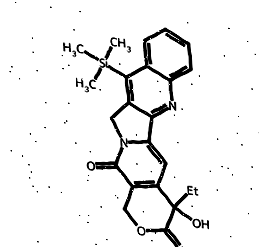 CCC1(O)C(=O)OCc2c1cc1n(c2=O)Cc2c-1nc1ccccc1c2[Si](C)(C)C